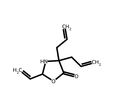 C=CCC1(CC=C)NC(C=C)OC1=O